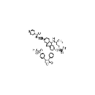 CCN(CC)CCCC(C)Nc1c2ccc(Cl)cc2nc2ccc(OC)cc12.CS(=O)(=O)c1ccc(C2=C(c3ccccc3)C(=O)OC2)cc1.NNC(=O)c1ccncc1